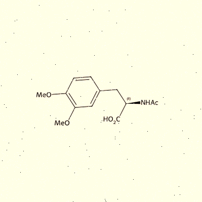 COc1ccc(C[C@@H](NC(C)=O)C(=O)O)cc1OC